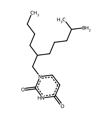 BC(C)CCCC(CCCC)Cn1ccc(=O)[nH]c1=O